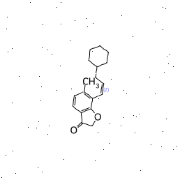 Cc1ccc2c(c1/C=C\CC1CCCCC1)OCC2=O